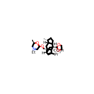 CCN1C[C@H](OC[C@@]23C[C@@H]4[C@H](C)CC[C@H]4[C@@]4(C5OCCO5)C[C@@H]2C=C(C(C)C)[C@@]34C(=O)O)O[C@H](C)C1